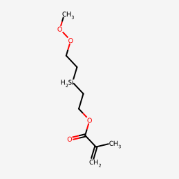 C=C(C)C(=O)OCC[SiH2]CCOOC